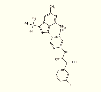 [2H]C([2H])([2H])c1nc(-c2cnc(NC(=O)[C@H](O)c3cccc(F)c3)cc2C)c2c(N)nc(C)cn12